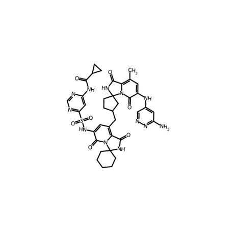 Cc1cc(Nc2cnnc(N)c2)c(=O)n2c1C(=O)NC21CCC(Cc2cc(NS(=O)(=O)c3cc(NC(=O)C4CC4)ncn3)c(=O)n3c2C(=O)NC32CCCCC2)C1